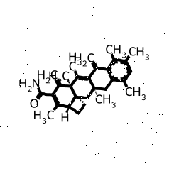 C=C1C2=C(C)[C@]3(C)C(=C)C(C(N)=O)=C(C)[C@H]4CC[C@]43C[C@]2(C)Cc2c(C)cc(C)c(C)c21